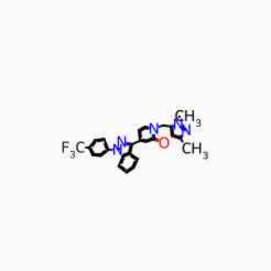 Cc1cc(Cn2ccc(-c3nn(-c4ccc(C(F)(F)F)cc4)c4ccccc34)cc2=O)n(C)n1